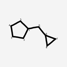 [CH](C1CCCC1)C1CC1